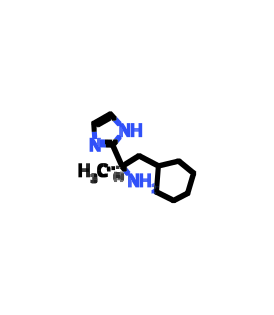 C[C@@](N)(CC1CCCCC1)c1ncc[nH]1